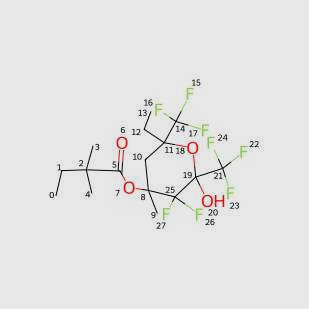 CCC(C)(C)C(=O)OC1(C)CC(CC)(C(F)(F)F)OC(O)(C(F)(F)F)C1(F)F